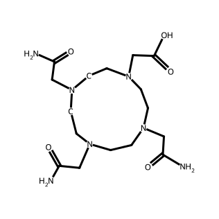 NC(=O)CN1CCN(CC(N)=O)CCN(CC(=O)O)CCN(CC(N)=O)CC1